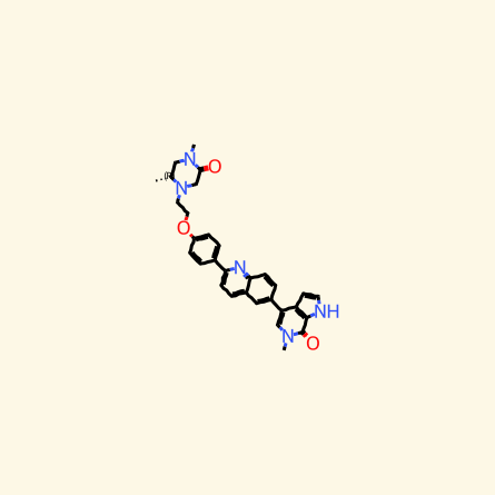 C[C@@H]1CN(C)C(=O)CN1CCOc1ccc(-c2ccc3cc(-c4cn(C)c(=O)c5[nH]ccc45)ccc3n2)cc1